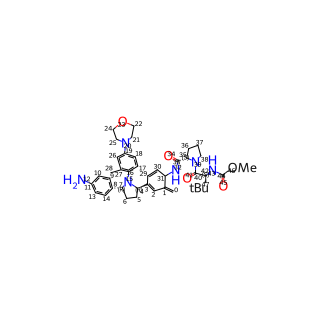 C=C1C=C([C@H]2CC[C@H](c3ccc(N)cc3)N2c2ccc(N3CCOCC3)cc2C)C=CC1NC(=O)[C@@H]1CCCN1C(=O)[C@@H](NC(=O)OC)C(C)(C)C